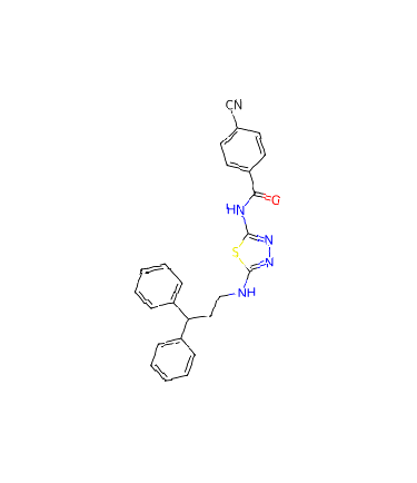 N#Cc1ccc(C(=O)Nc2nnc(NCCC(c3ccccc3)c3ccccc3)s2)cc1